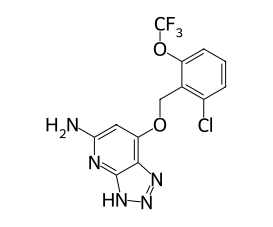 Nc1cc(OCc2c(Cl)cccc2OC(F)(F)F)c2nn[nH]c2n1